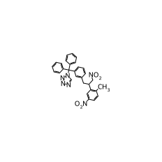 Cc1ccc([N+](=O)[O-])cc1C(Cc1cccc(C(c2ccccc2)(c2ccccc2)n2cnnn2)c1)C[N+](=O)[O-]